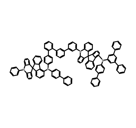 c1ccc(-c2ccc(N(c3ccc(-c4ccccc4-c4cccc(-c5cccc(N6c7ccccc7C7(c8ccccc8-c8c(N(c9ccc(-c%10ccccc%10)cc9)c9cc(-c%10ccccc%10)cc(-c%10ccccc%10)c9)cccc87)c7ccccc76)c5)c4)cc3)c3cccc4c3-c3ccccc3C43c4ccccc4N(c4ccccc4)c4ccccc43)cc2)cc1